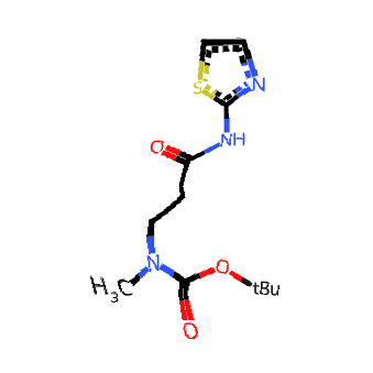 CN(CCC(=O)Nc1nccs1)C(=O)OC(C)(C)C